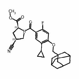 COC(=O)[C@@H]1C[C@H](C#N)CN1C(=O)c1cc(C2CC2)c(OCC23CC4CC(CC(C4)C2)C3)cc1F